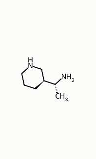 C[C@@H](N)[C@H]1CCCNC1